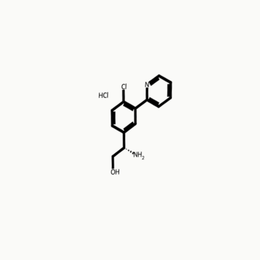 Cl.N[C@H](CO)c1ccc(Cl)c(-c2ccccn2)c1